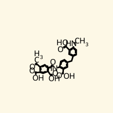 CNc1ccc(Cc2ccc(NC(=O)c3cc(C(C)=O)c(C(=O)O)cc3C(=O)O)c(C(=O)O)c2)cc1C(=O)O